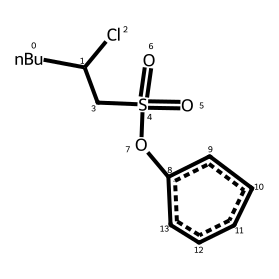 CCCCC(Cl)CS(=O)(=O)Oc1ccccc1